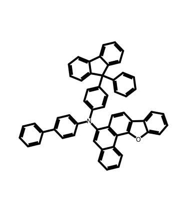 c1ccc(-c2ccc(N(c3ccc(C4(c5ccccc5)c5ccccc5-c5ccccc54)cc3)c3cc4ccccc4c4c3ccc3c5ccccc5oc34)cc2)cc1